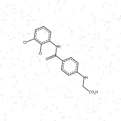 O=C(O)CNc1ccc(C(=O)Nc2cccc(Cl)c2Cl)cc1